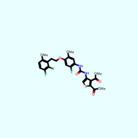 COC(=O)c1scc(NC(=O)Nc2cc(OC)c(OCCc3c(OC)ccc(F)c3F)cc2F)c1C(=O)OC